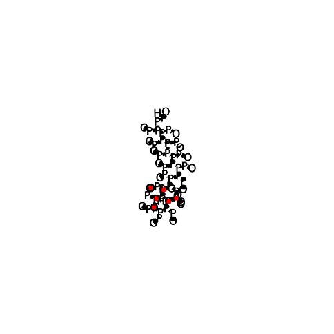 O=PPP(P=O)P(P=O)P(P=O)P(P=O)P(P=O)P(P=O)P(P=O)P(P=O)P(P=O)P(P=O)P(P=O)P(P=O)P(P=O)P(P=O)P(P=O)P(P=O)P(P=O)P(P=O)P(P=O)PP=O